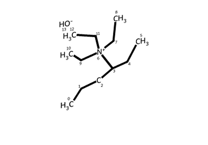 CCCC(CC)[N+](CC)(CC)CC.[OH-]